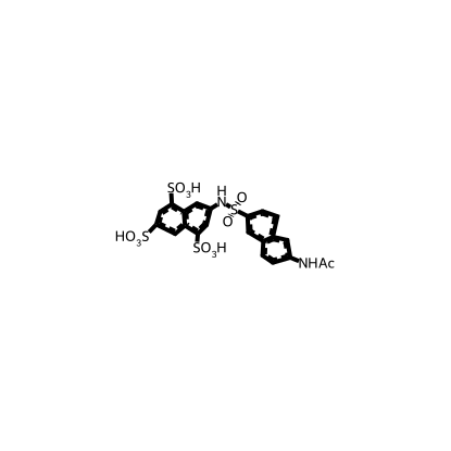 CC(=O)Nc1ccc2cc(S(=O)(=O)Nc3cc(S(=O)(=O)O)c4cc(S(=O)(=O)O)cc(S(=O)(=O)O)c4c3)ccc2c1